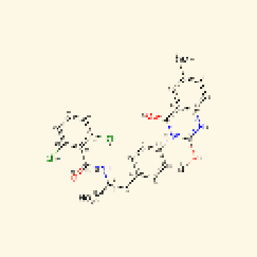 CCOc1nc2ccc(OC)cc2c(=O)n1-c1ccc(C[C@H](NC(=O)c2c(Cl)cccc2Cl)C(=O)O)cc1